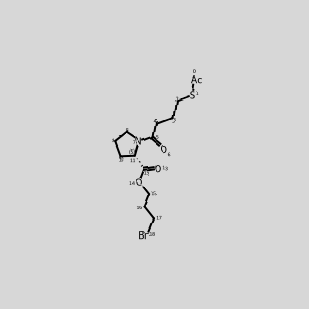 CC(=O)SCCCC(=O)N1CCC[C@H]1C(=O)OCCCBr